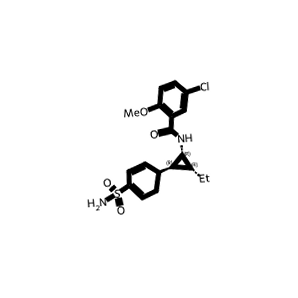 CC[C@H]1[C@@H](NC(=O)c2cc(Cl)ccc2OC)[C@@H]1C1C=CC(S(N)(=O)=O)=CC1